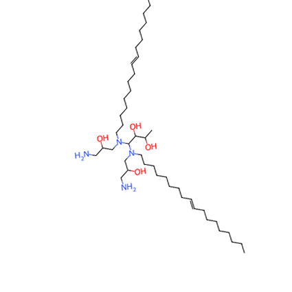 CCCCCCCCC=CCCCCCCCCN(CC(O)CN)C(C(O)C(C)O)N(CCCCCCCCC=CCCCCCCCC)CC(O)CN